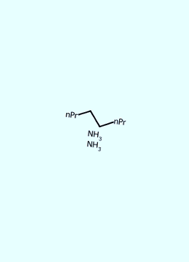 CCCCCCCC.N.N